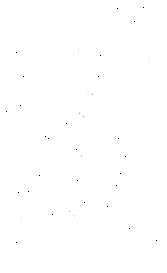 Cc1noc(NC(=O)c2ccc(C(C)C)nn2)c1C